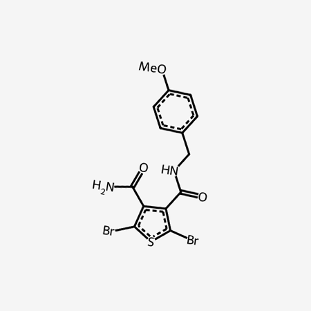 COc1ccc(CNC(=O)c2c(Br)sc(Br)c2C(N)=O)cc1